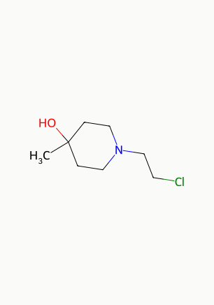 CC1(O)CCN(CCCl)CC1